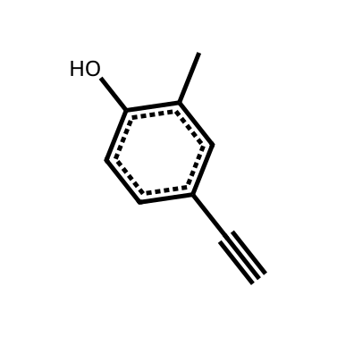 C#Cc1ccc(O)c(C)c1